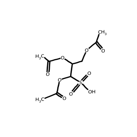 CC(=O)OCC(OC(C)=O)C(OC(C)=O)S(=O)(=O)O